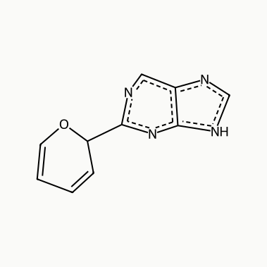 C1=COC(c2ncc3nc[nH]c3n2)C=C1